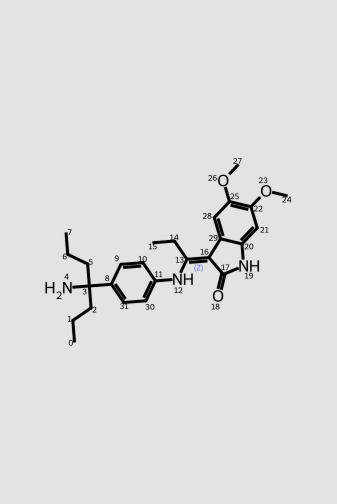 CCCC(N)(CCC)c1ccc(N/C(CC)=C2\C(=O)Nc3cc(OC)c(OC)cc32)cc1